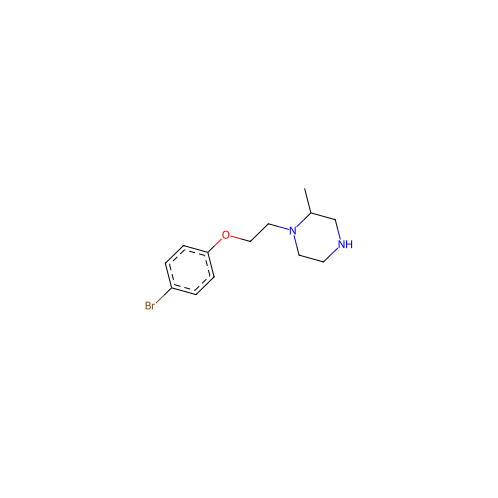 CC1CNCCN1CCOc1ccc(Br)cc1